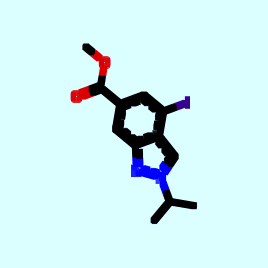 COC(=O)c1cc(I)c2cn(C(C)C)nc2c1